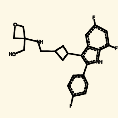 OCC1(NCC2CC(c3c(-c4ccc(F)cc4)[nH]c4c(F)cc(F)cc34)C2)COC1